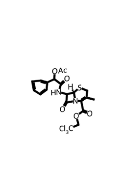 CC(=O)OC(C(=O)NC1C(=O)N2C(C(=O)OCC(Cl)(Cl)Cl)=C(C)CS[C@@H]12)c1ccccc1